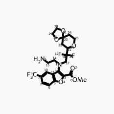 COC(=O)c1oc2ccc(C(F)(F)F)cc2c1N(CCN)CC(F)(F)C1CC2(CCO1)OCCO2